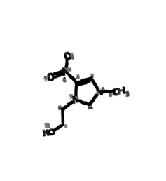 CN1C=C([N+](=O)[O-])N(CCO)C1